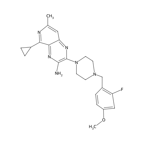 COc1ccc(CN2CCN(c3nc4cc(C)nc(C5CC5)c4nc3N)CC2)c(F)c1